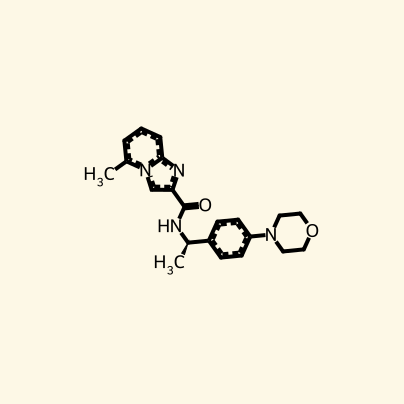 Cc1cccc2nc(C(=O)N[C@H](C)c3ccc(N4CCOCC4)cc3)cn12